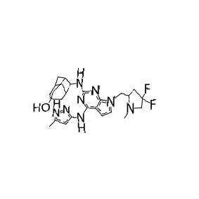 Cc1cc(Nc2nc(NC3C4CC5CC3CC(O)(C5)C4)nc3c2ccn3CC2CC(F)(F)CN2C)n[nH]1